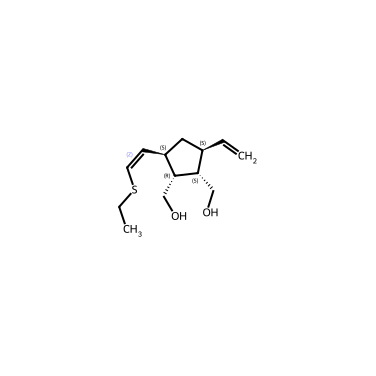 C=C[C@@H]1C[C@H](/C=C\SCC)[C@@H](CO)[C@H]1CO